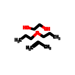 C=CC.CCCOCCC.OCCO